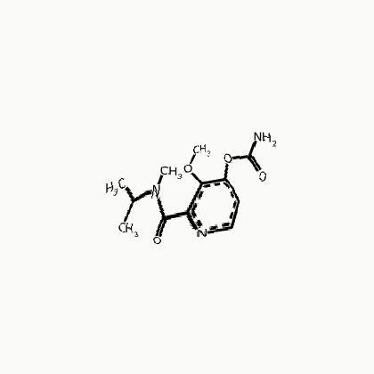 COc1c(OC(N)=O)ccnc1C(=O)N(C)C(C)C